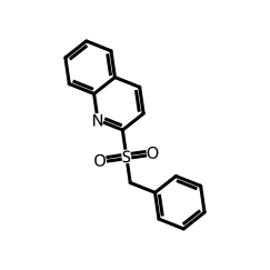 O=S(=O)(Cc1ccccc1)c1ccc2ccccc2n1